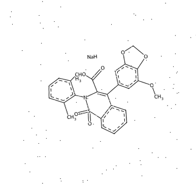 COc1cc(C2=C(C(=O)O)N(c3c(C)cccc3C)S(=O)(=O)c3ccccc32)cc2c1OCO2.[NaH]